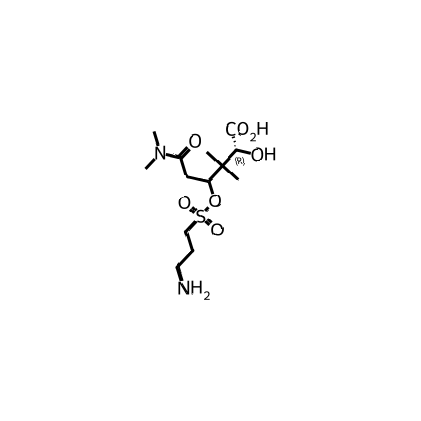 CN(C)C(=O)CC(OS(=O)(=O)CCCN)C(C)(C)[C@@H](O)C(=O)O